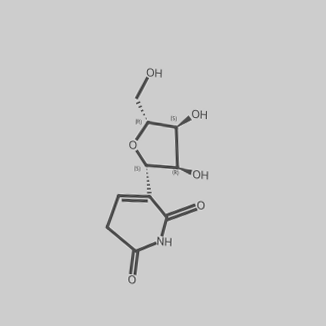 O=C1CC=C([C@@H]2O[C@H](CO)[C@@H](O)[C@H]2O)C(=O)N1